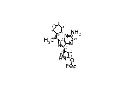 C[C@@H]([C@@H]1CCCOC1)n1nc(-c2cc(OC(F)F)[nH]n2)c2ncc(N)nc21